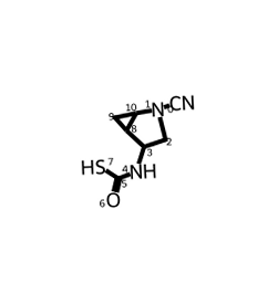 N#CN1CC(NC(=O)S)C2CC21